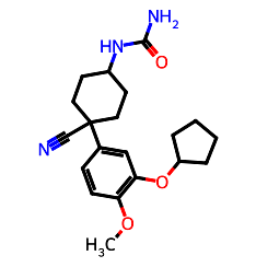 COc1ccc(C2(C#N)CCC(NC(N)=O)CC2)cc1OC1CCCC1